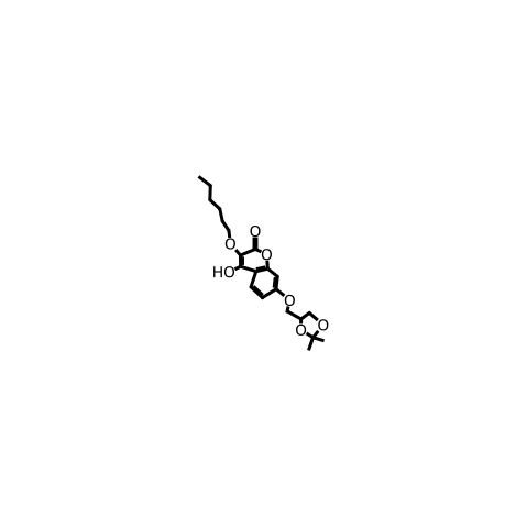 CCCCCCOc1c(O)c2ccc(OCC3COC(C)(C)O3)cc2oc1=O